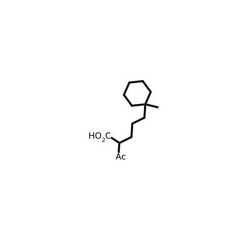 CC(=O)C(CCCC1(C)CCCCC1)C(=O)O